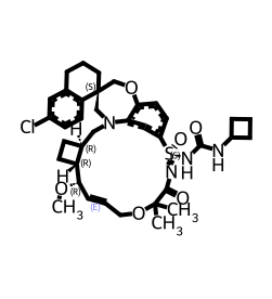 CO[C@H]1/C=C/COC(C)(C)C(=O)N=[S@@](=O)(NC(=O)NC2CCC2)c2ccc3c(c2)N(C[C@@H]2CC[C@H]21)C[C@@]1(CCCc2cc(Cl)ccc21)CO3